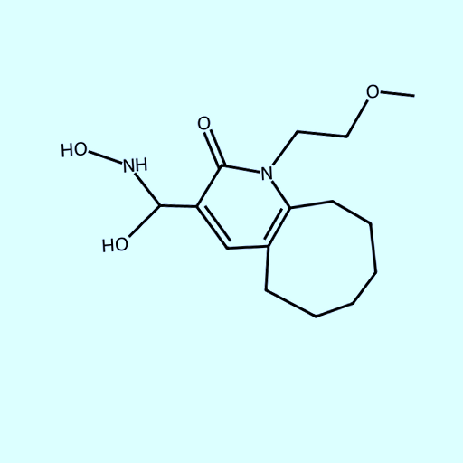 COCCn1c2c(cc(C(O)NO)c1=O)CCCCCC2